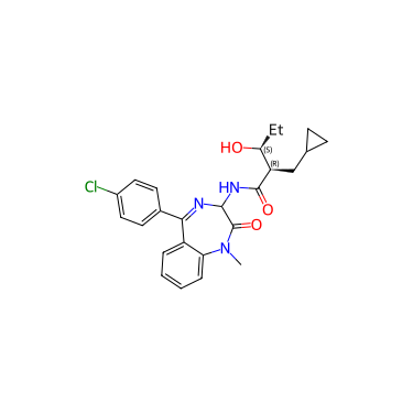 CC[C@H](O)[C@@H](CC1CC1)C(=O)NC1N=C(c2ccc(Cl)cc2)c2ccccc2N(C)C1=O